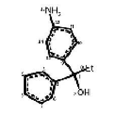 CCC(O)(c1ccccc1)c1ccc(N)cc1